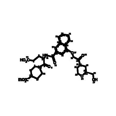 CCOC(=O)N1CCN(C(=O)C(CCC(=O)O)NC(=O)c2cc(OCC(=O)N3CCO[C@H](CO)C3)c3ccccc3n2)CC1